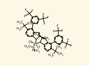 CC1=Cc2c(ccc(C(C)(C)C)c2-c2cc(C(F)(F)F)cc(C(F)(F)F)c2)[CH]1[Zr]([Cl])([Cl])([CH]1C(C)=Cc2c1ccc(C(C)(C)C)c2-c1cc(C(F)(F)F)cc(C(F)(F)F)c1)[SiH](C)C